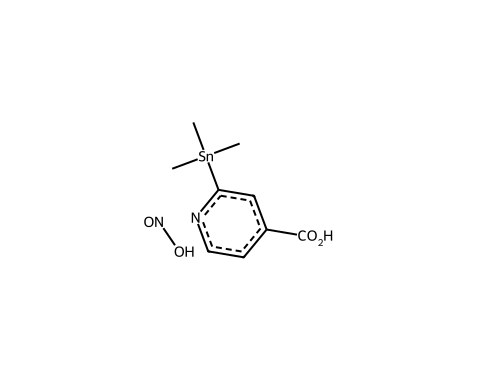 O=NO.[CH3][Sn]([CH3])([CH3])[c]1cc(C(=O)O)ccn1